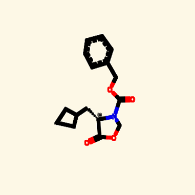 O=C1OCN(C(=O)OCc2ccccc2)[C@H]1CC1CCC1